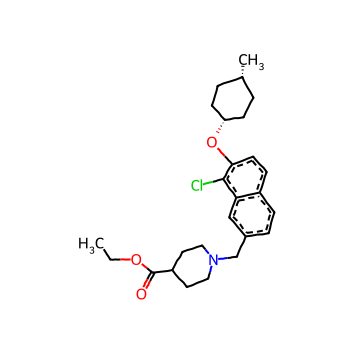 CCOC(=O)C1CCN(Cc2ccc3ccc(O[C@H]4CC[C@@H](C)CC4)c(Cl)c3c2)CC1